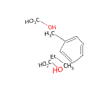 CCC.Cc1ccccc1.O=C(O)O.O=C(O)O